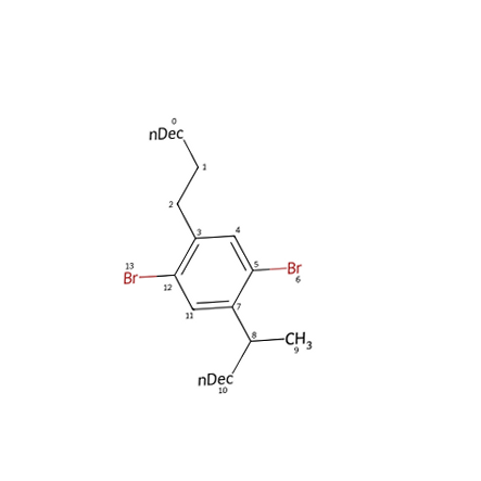 CCCCCCCCCCCCc1cc(Br)c(C(C)CCCCCCCCCC)cc1Br